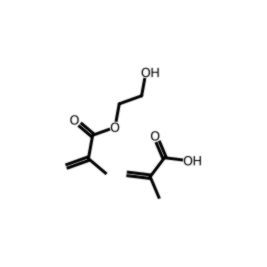 C=C(C)C(=O)O.C=C(C)C(=O)OCCO